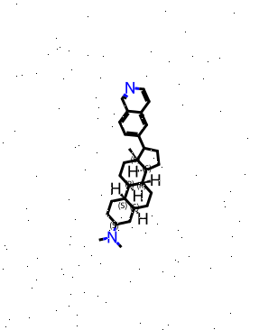 CN(C)[C@H]1CC[C@H]2[C@@H](CC[C@@H]3[C@@H]2CC[C@]2(C)C(c4ccc5cnccc5c4)CC[C@@H]32)C1